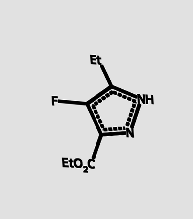 CCOC(=O)c1n[nH]c(CC)c1F